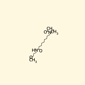 COCCCNC(=O)CCCCCCCCN(C)C(C)=O